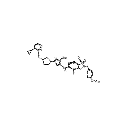 COc1ccc(CN2Cc3c(ccc(Nc4cc(C5CCC(Oc6nnccc6C6CC6)C5)nn4C(C)(C)C)c3F)S2(=O)=O)cc1